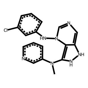 CN(C1=C2C(=CN=CN2Nc2cccc(Cl)c2)NN1)c1cccnc1